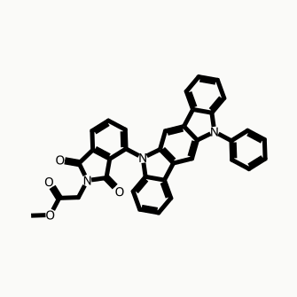 COC(=O)CN1C(=O)c2cccc(-n3c4ccccc4c4cc5c(cc43)c3ccccc3n5-c3ccccc3)c2C1=O